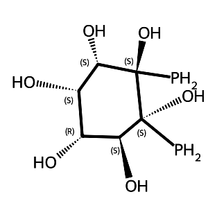 O[C@@H]1[C@H](O)[C@H](O)[C@](O)(P)[C@@](O)(P)[C@H]1O